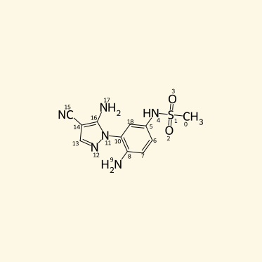 CS(=O)(=O)Nc1ccc(N)c(-n2ncc(C#N)c2N)c1